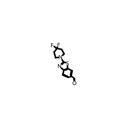 O=Cc1ccc2nc(N3CCC(F)(F)CC3)sc2c1